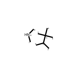 CC(C)C(C)(C)C.CNC